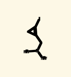 CCCN(CCC)CC1=C(I)C1